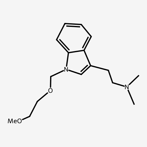 COCCOCn1cc(CCN(C)C)c2ccccc21